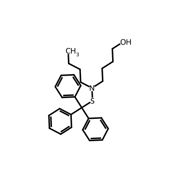 CCCCN(CCCCO)SC(c1ccccc1)(c1ccccc1)c1ccccc1